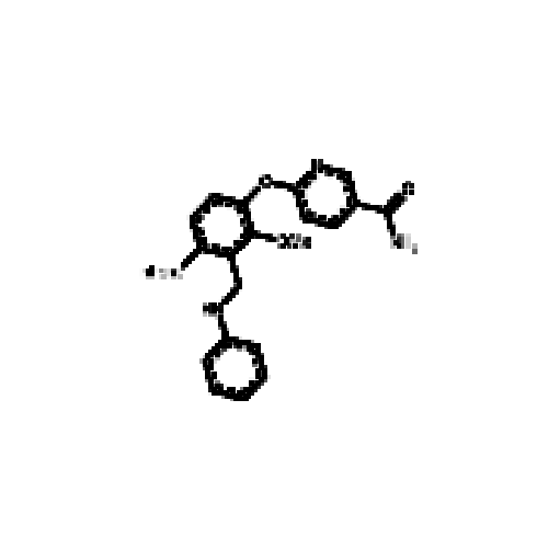 CCCCCc1ccc(Oc2ccc(C(N)=O)cn2)c(OC)c1CNc1ccccc1